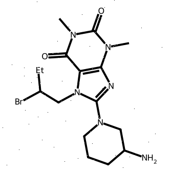 CCC(Br)Cn1c(N2CCCC(N)C2)nc2c1c(=O)n(C)c(=O)n2C